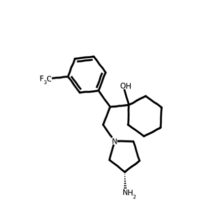 N[C@H]1CCN(CC(c2cccc(C(F)(F)F)c2)C2(O)CCCCC2)C1